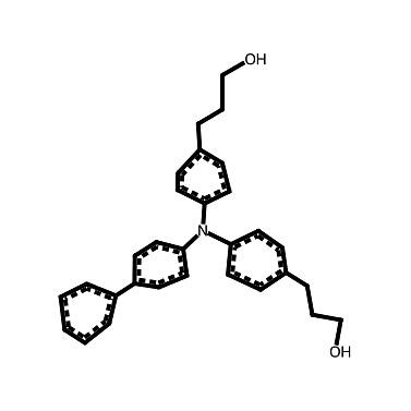 OCCCc1ccc(N(c2ccc(CCCO)cc2)c2ccc(-c3ccccc3)cc2)cc1